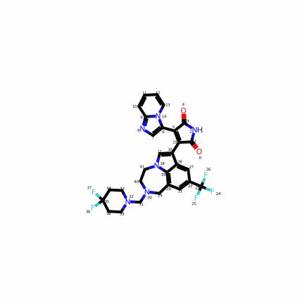 O=C1NC(=O)C(c2cnc3ccccn23)=C1c1cn2c3c(cc(C(F)(F)F)cc13)CN(CN1CCC(F)(F)CC1)CC2